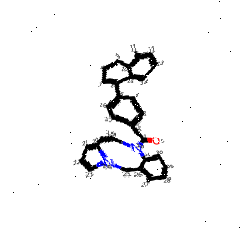 O=C(c1ccc(-c2cccc3ccccc23)cc1)N1Cc2cccn2Cc2ccccc21